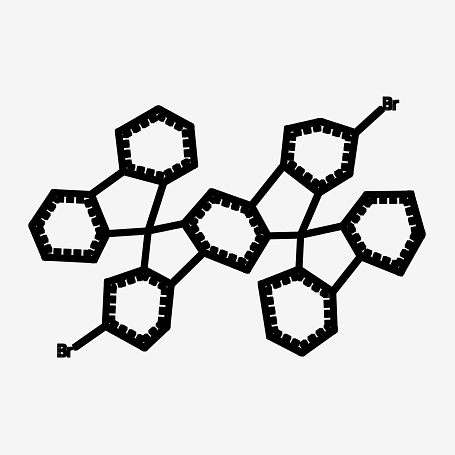 Brc1ccc2c(c1)C1(c3ccccc3-c3ccccc31)c1cc3c(cc1-2)C1(c2ccccc2-c2ccccc21)c1cc(Br)ccc1-3